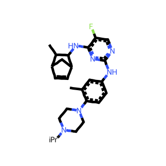 Cc1cc(Nc2ncc(F)c(NC3C4C=CC(C4)C3C)n2)ccc1N1CCN(C(C)C)CC1